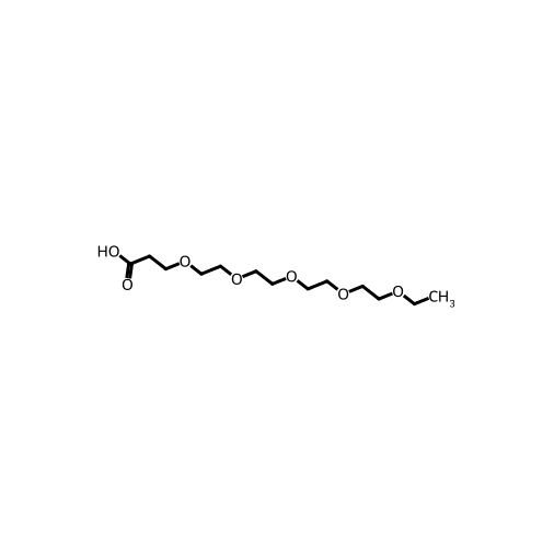 CCOCCOCCOCCOCCOCCC(=O)O